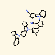 CC1C=C(n2c3ccccc3c3cc(-n4c5ccccc5c5ccccc54)ccc32)C=C(C2=CC=CC(n3c4ccccc4c4cc(C#N)ccc43)C2C#N)C1